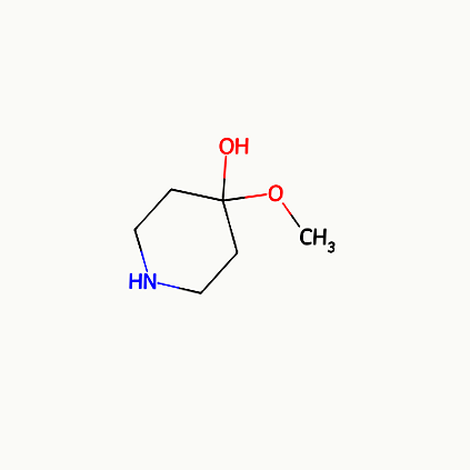 COC1(O)CCNCC1